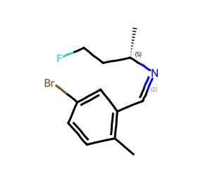 Cc1ccc(Br)cc1/C=N\[C@@H](C)CCF